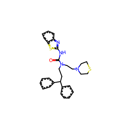 O=C(Nc1nc2ccccc2s1)N(CCC(c1ccccc1)c1ccccc1)CCN1CCSCC1